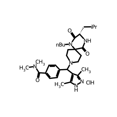 CCCCN1C(=O)[C@H](CC(C)C)NC(=O)C12CCN(C(c1ccc(C(=O)N(C)C)cc1)c1c(C)n[nH]c1C)CC2.Cl